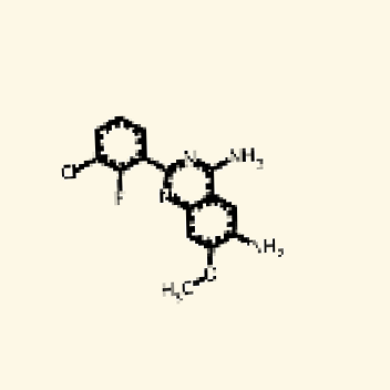 COc1cc2nc(-c3cccc(Cl)c3F)nc(N)c2cc1N